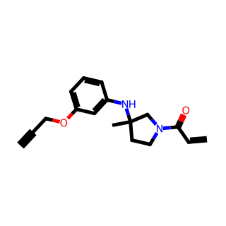 C#CCOc1cccc(NC2(C)CCN(C(=O)C=C)C2)c1